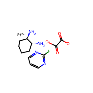 Fc1ncccn1.N[C@@H]1CCCC[C@H]1N.O=C([O-])C(=O)[O-].[Pt+2]